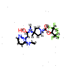 C=C/N=c1/cccnn1CC(O)N(C)C1(C)CCN(C(=O)OC(C(F)(F)F)C(F)(F)F)CC1